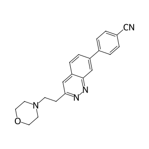 N#Cc1ccc(-c2ccc3cc(CCN4CCOCC4)nnc3c2)cc1